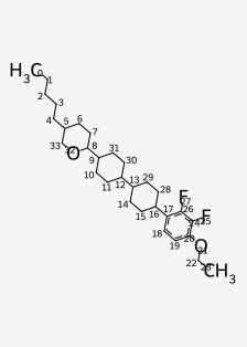 CCCCCC1CCC(C2CCC(C3CCC(c4ccc(OCC)c(F)c4F)CC3)CC2)OC1